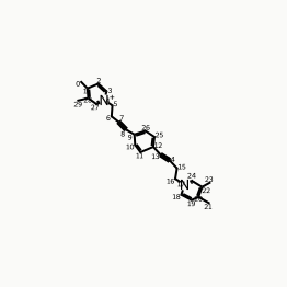 Cc1cc[n+](CCC#Cc2ccc(C#CCC[n+]3ccc(C)c(C)c3)cc2)cc1C